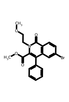 COCCn1c(C(=O)OC)c(-c2ccccc2)c2cc(Br)ccc2c1=O